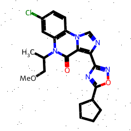 COCC(C)n1c(=O)c2c(-c3noc(C4CCCC4)n3)ncn2c2ccc(Cl)cc21